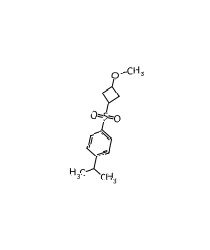 COC1CC(S(=O)(=O)c2ccc(C(C)C)cc2)C1